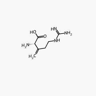 C=C(CCNC(=N)N)[C@H](N)C(=O)O